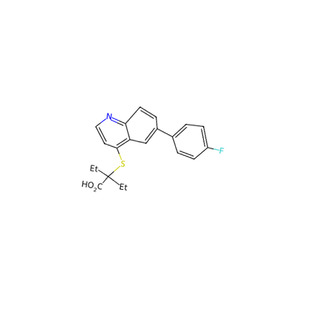 CCC(CC)(Sc1ccnc2ccc(-c3ccc(F)cc3)cc12)C(=O)O